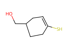 OCC1CC=C(S)CC1